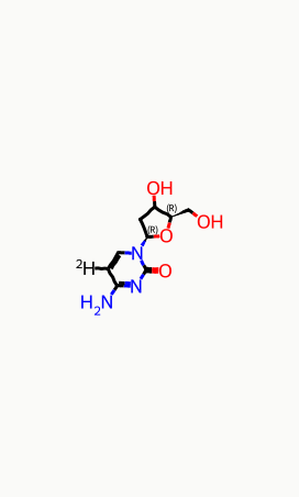 [2H]c1cn([C@H]2CC(O)[C@@H](CO)O2)c(=O)nc1N